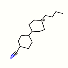 CCCC[SiH]1CCC(C2CCC(C#N)CC2)CC1